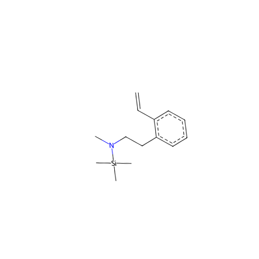 C=Cc1ccccc1CCN(C)[Si](C)(C)C